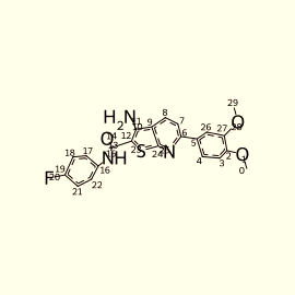 COc1ccc(-c2ccc3c(N)c(C(=O)Nc4ccc(F)cc4)sc3n2)cc1OC